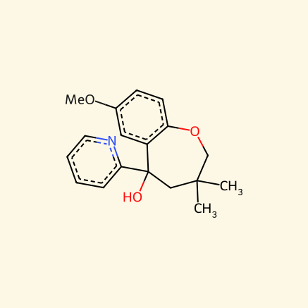 COc1ccc2c(c1)C(O)(c1ccccn1)CC(C)(C)CO2